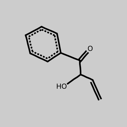 C=CC(O)C(=O)c1ccccc1